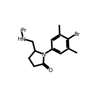 Cc1cc(N2C(=O)CCC2CNC(C)C)cc(C)c1Br